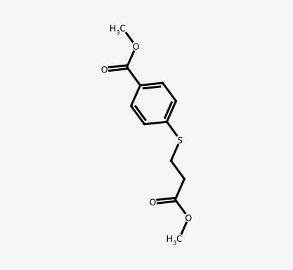 COC(=O)CCSc1ccc(C(=O)OC)cc1